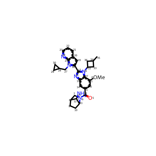 COc1cc(C(=O)N2CC3CCC2C3N)cc2nc(-c3cc4cccnc4n3CC3CC3)n(C3CC(C)C3)c12